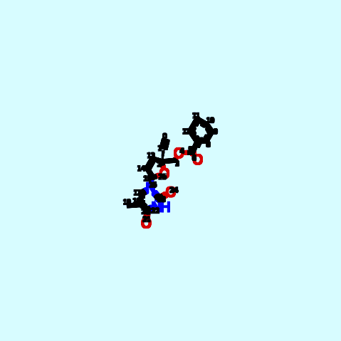 C#C[C@@]1(COC(=O)c2ccccc2)C=C[C@H](n2cc(C)c(=O)[nH]c2=O)O1